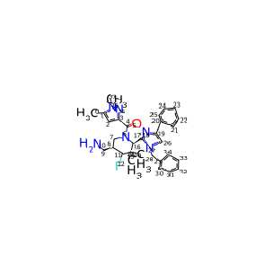 Cc1cc(C(=O)N2C[C@H](CN)C(F)C(C)(C)[C@@H]2c2nc(-c3ccccc3)cn2Cc2ccccc2)nn1C